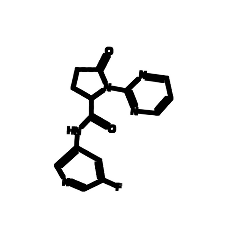 O=C(Nc1cncc(F)c1)C1CCC(=O)N1c1ncccn1